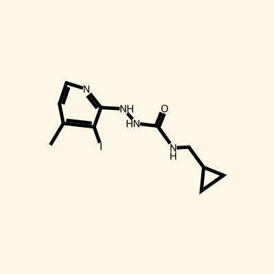 Cc1ccnc(NNC(=O)NCC2CC2)c1I